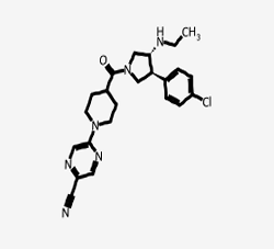 CCN[C@H]1CN(C(=O)C2CCN(c3cnc(C#N)cn3)CC2)C[C@@H]1c1ccc(Cl)cc1